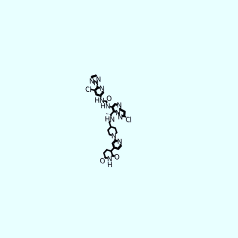 C[C@@H](NCC1CCN(c2cc(C3CCC(=O)NC3=O)ccn2)CC1)c1c(NC(=O)Nc2cnc(-n3nccn3)c(Cl)c2)cnc2cc(Cl)nn12